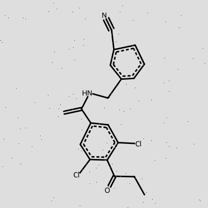 C=C(NCc1cccc(C#N)c1)c1cc(Cl)c(C(=O)CC)c(Cl)c1